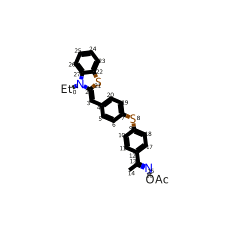 CCN1/C(=C/c2ccc(Sc3ccc(/C(C)=N/OC(C)=O)cc3)cc2)Sc2ccccc21